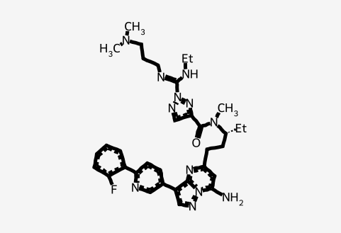 CCN/C(=N\CCCN(C)C)n1ncc(C(=O)N(C)[C@H](CC)CCc2cc(N)n3ncc(-c4ccc(-c5ccccc5F)nc4)c3n2)n1